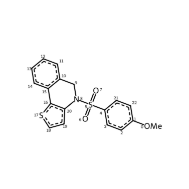 COc1ccc(S(=O)(=O)N2Cc3ccccc3-c3sccc32)cc1